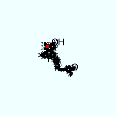 CCc1cc(C#CCN(C)CC2CCN(c3ccc(C(c4ccc(O)cc4C(C)CC)C(CC)c4cccc(C)c4)cc3F)CC2)ccc1C=O